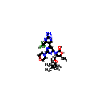 C[C@H]1OC(=O)N(c2cc(-c3cnc(N)nc3C(F)(F)F)nc(N3CCOCC3)n2)[C@H]1CO[Si](C)(C)C(C)(C)C